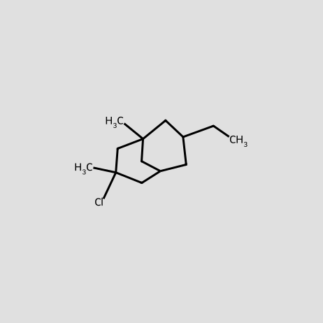 CCC1CC2CC(C)(Cl)CC(C)(C1)C2